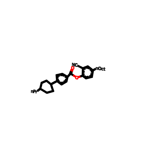 CCCCCCCCc1ccc(OC(=O)c2ccc(C3CCC(CCC)CC3)cc2)c(C#N)c1